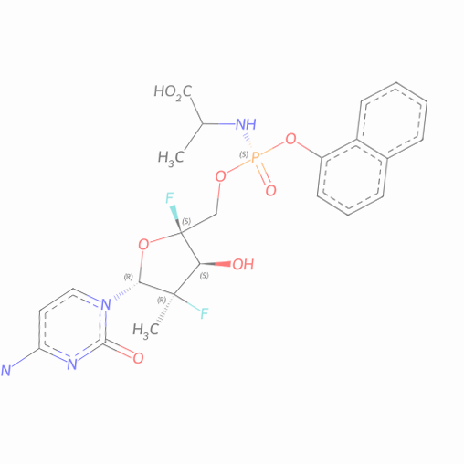 CC(N[P@](=O)(OC[C@@]1(F)O[C@@H](n2ccc(N)nc2=O)[C@](C)(F)[C@@H]1O)Oc1cccc2ccccc12)C(=O)O